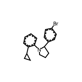 Brc1ccc(C2CCCN2c2ccccc2C2CC2)cc1